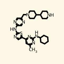 Cc1cc(-c2cnc(Nc3cnc(CN4CCC(C5CCNCC5)CC4)cn3)s2)nc(NC2CCCCC2)n1